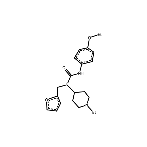 CCOc1ccc(NC(=O)N(Cc2ccco2)C2CCN(CC)CC2)cc1